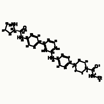 CCNC(=O)N1CCN(c2ccc(Nc3nccc(-c4ccc(NC(=O)[C@@H]5CCCN5)cc4)n3)cc2)CC1